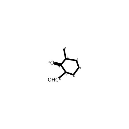 CC1CCCC(C=O)C1=O